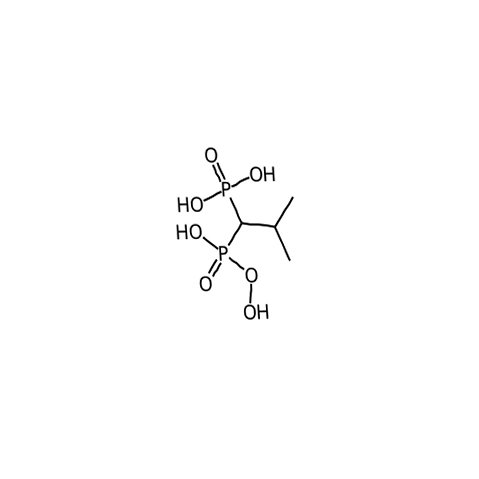 CC(C)C(P(=O)(O)O)P(=O)(O)OO